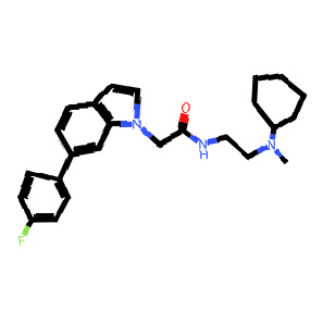 CN(CCNC(=O)Cn1ccc2ccc(-c3ccc(F)cc3)cc21)C1CCCCC1